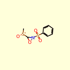 C[S+]([O-])C1ON1S(=O)(=O)c1ccccc1